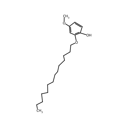 CCCCCCCCCCCCCCOc1cc(OC)ccc1O